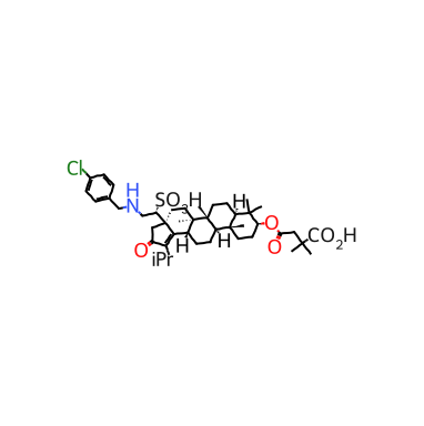 CC(C)C1=C2[C@H]3CC[C@@H]4[C@@]5(C)CC[C@H](OC(=O)CC(C)(C)C(=O)O)C(C)(C)[C@@H]5CC[C@@]4(C)[C@]3(C)CC[C@@]2([C@H](CNCc2ccc(Cl)cc2)S(=O)(=O)O)CC1=O